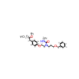 CCCNC(=O)N(CCCOCc1ccccc1)CCOc1ccc(CC(OCC)C(=O)O)cc1